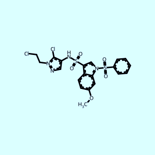 COc1ccc2c(S(=O)(=O)Nc3cnn(CCCl)c3Cl)cn(S(=O)(=O)c3ccccc3)c2c1